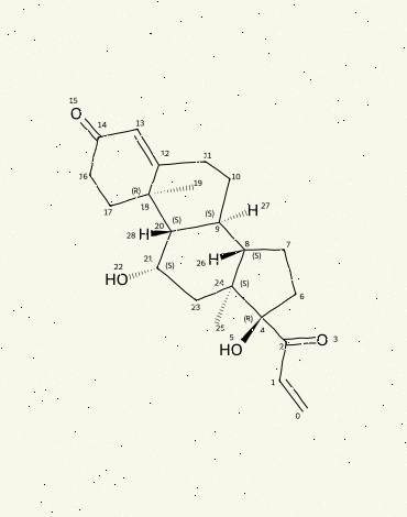 C=CC(=O)[C@@]1(O)CC[C@H]2[C@@H]3CCC4=CC(=O)CC[C@]4(C)[C@H]3[C@@H](O)C[C@@]21C